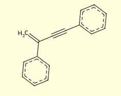 C=C(C#Cc1ccccc1)c1ccccc1